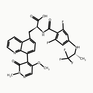 COc1cnn(C)c(=O)c1-c1ccc(C[C@H](NC(=O)c2c(F)cc(N[C@H](C)C(F)(F)F)cc2F)C(=O)O)c2cccnc12